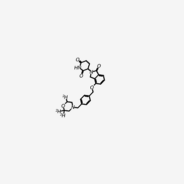 [2H]C1CN(Cc2ccc(COc3cccc4c3CN(C3CCC(=O)NC3=O)C4=O)cc2)CC([2H])([2H])O1